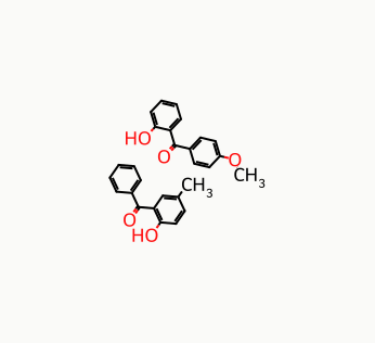 COc1ccc(C(=O)c2ccccc2O)cc1.Cc1ccc(O)c(C(=O)c2ccccc2)c1